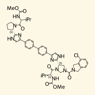 COC(=O)NC(C(=O)N1CCC[C@H]1c1nc(-c2ccc(-c3ccc(-c4c[nH]c([C@@H]5CN(C(=O)N6Cc7cccc(Cl)c7C6)CN5C(=O)[C@@H](NC(=O)OC)C(C)C)n4)cc3)cc2)c[nH]1)C(C)C